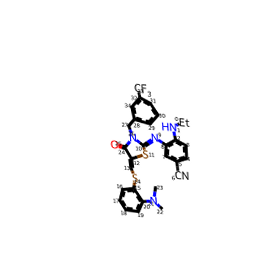 CCNc1ccc(C#N)cc1/N=C1\S/C(=C\Sc2ccccc2N(C)C)C(=O)N1Cc1cccc(C(F)(F)F)c1